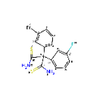 CCc1cccc(C(C(N)=S)(C(N)=S)c2cccc(F)c2)c1